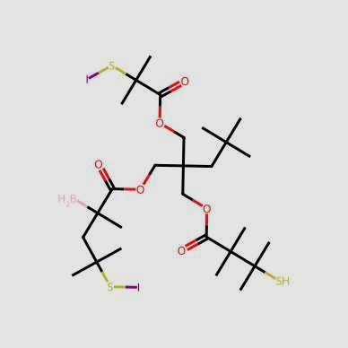 BC(C)(CC(C)(C)SI)C(=O)OCC(COC(=O)C(C)(C)SI)(COC(=O)C(C)(C)C(C)(C)S)CC(C)(C)C